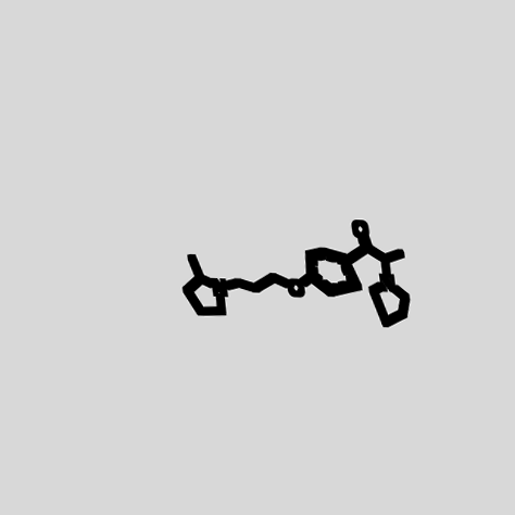 CC1CCCN1CCCOc1ccc(C(=O)C(C)N2CCCC2)cc1